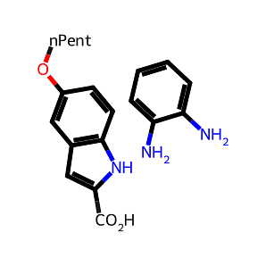 CCCCCOc1ccc2[nH]c(C(=O)O)cc2c1.Nc1ccccc1N